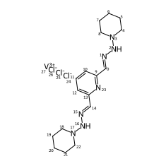 C(=NNN1CCCCC1)c1cccc(C=NNN2CCCCC2)n1.[Cl-].[Cl-].[Cl-].[V+3]